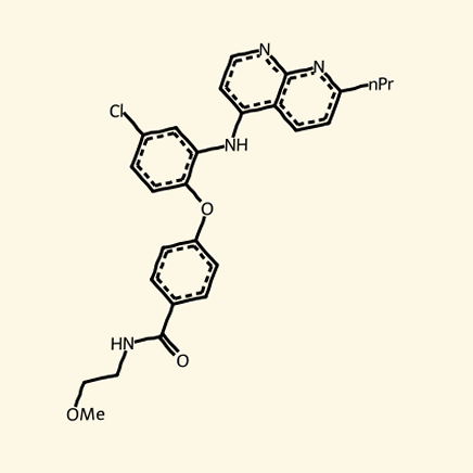 CCCc1ccc2c(Nc3cc(Cl)ccc3Oc3ccc(C(=O)NCCOC)cc3)ccnc2n1